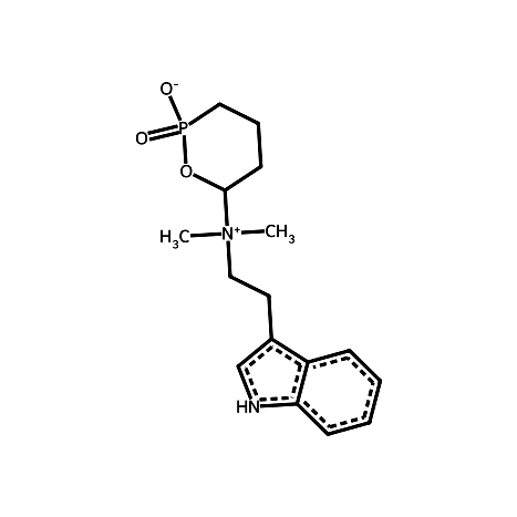 C[N+](C)(CCc1c[nH]c2ccccc12)C1CCCP(=O)([O-])O1